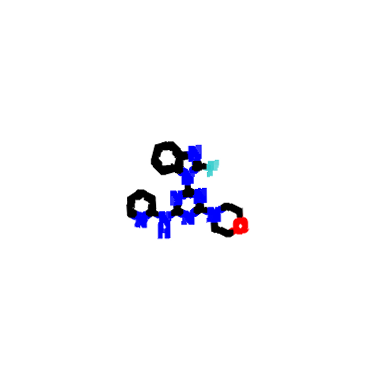 Fc1nc2ccccc2n1-c1nc(Nc2ccccn2)nc(N2CCOCC2)n1